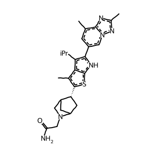 Cc1nc2c(C)cc(-c3[nH]c4sc([C@@H]5CC6CC5CN6CC(N)=O)c(C)c4c3C(C)C)cn2n1